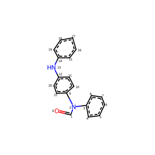 O=CN(c1ccccc1)c1ccc(Nc2ccccc2)cc1